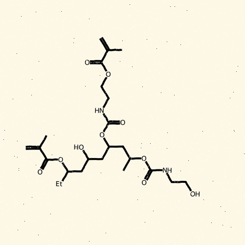 C=C(C)C(=O)OCCNC(=O)OC(CC(O)CC(CC)OC(=O)C(=C)C)CC(C)OC(=O)NCCO